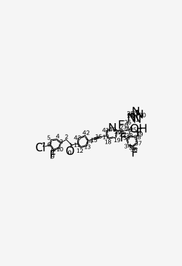 O=C(Cc1ccc(Cl)c(F)c1)c1ccc(C#Cc2ccc(C(F)(F)C(O)(Cn3cnnn3)c3ccc(F)cc3F)nc2)cc1